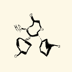 CN1C(=O)CO[C@H](c2cccc(Cl)c2)[C@@H]1c1ccc(Cl)cc1